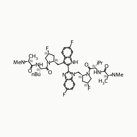 CCCC[C@H](NC(=O)[C@H](C)NC)C(=O)N1C[C@@H](F)C[C@H]1Cc1c(-c2nc3cc(F)ccc3n2C[C@@H]2C[C@H](F)CN2C(=O)[C@@H](NC(=O)[C@H](C)NC)C(C)C)[nH]c2cc(F)ccc12